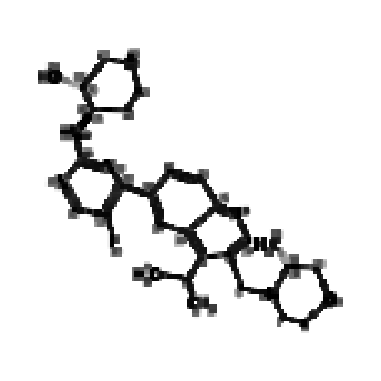 CC(C)c1c(CN2CCOC[C@H]2C)cnc2ccc(-c3nc(N[C@@H]4CCOC[C@H]4O)ncc3F)cc12